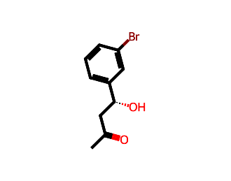 CC(=O)C[C@@H](O)c1cccc(Br)c1